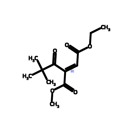 CCOC(=O)/C=C(/C(=O)OC)C(=O)C(C)(C)C